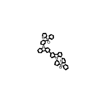 O=P(c1ccccc1)(c1cccc(-n2c3ccccc3c3cc(-c4ccc5c(c4)c4ccccc4n5-c4cccc(P(=O)(c5ccccc5)c5ccccn5)c4)ccc32)c1)c1ccccn1